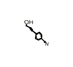 N#Cc1ccc(C#CCO)cc1